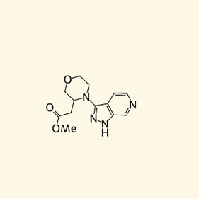 COC(=O)CC1COCCN1c1n[nH]c2cnccc12